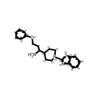 NC(CCOc1ccccc1)C1CCN(c2nc3ccccc3s2)CC1